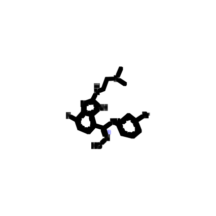 CN(C)CCNc1nc2c(F)ccc(/C(=N\O)Nc3cccc(Br)c3)c2[nH]1